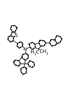 CC1(C)c2cc(-c3ccc4ccccc4c3)ccc2-c2ccc(N(c3ccc(-c4cccc5c4sc4ccccc45)cc3)c3ccc4c(c3)-c3ccccc3C4(c3ccccc3)c3ccccc3)cc21